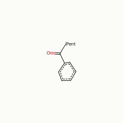 CCCC(C)C(=O)c1ccccc1